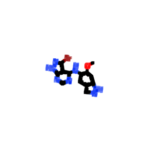 COc1cc2[nH]ncc2cc1Nc1ncnc2[nH]nc(Br)c12